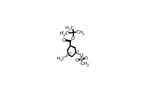 C[C@H]1CC(C(=O)OC(C)(C)C)C[C@@H](OS(C)(=O)=O)C1